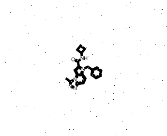 Cc1nnc2ccc3c(cc(C(=O)NC4CCC4)n3Cc3ccccc3)n12